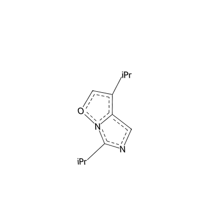 CC(C)c1con2c(C(C)C)ncc12